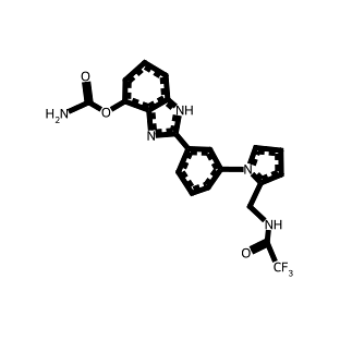 NC(=O)Oc1cccc2[nH]c(-c3cccc(-n4cccc4CNC(=O)C(F)(F)F)c3)nc12